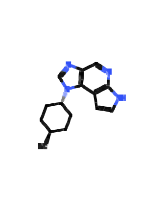 N#C[C@H]1CC[C@H](n2cnc3cnc4[nH]ccc4c32)CC1